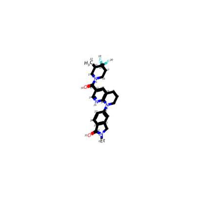 CCN1Cc2cc(N3CCCc4cc(C(=O)N5CCC(F)(F)C(C)C5)cnc43)ccc2C1=O